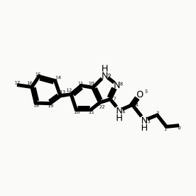 CCCNC(=O)Nc1n[nH]c2cc(-c3ccc(C)cc3)ccc12